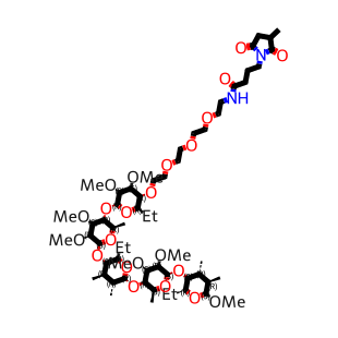 CC[C@H]1O[C@H](OC)[C@H](C)[C@@H](C)[C@@H]1O[C@@H]1O[C@@H](C)[C@@H](O[C@H]2O[C@H](CC)[C@@H](O[C@@H]3O[C@H](C)[C@@H](O[C@H]4O[C@H](CC)[C@@H](OCCOCCOCCOCCNC(=O)CCCN5C(=O)CC(C)C5=O)[C@H](OC)[C@H]4OC)[C@H](OC)[C@H]3OC)[C@H](C)[C@H]2C)[C@H](OC)[C@H]1OC